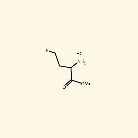 COC(=O)C(N)CCF.Cl